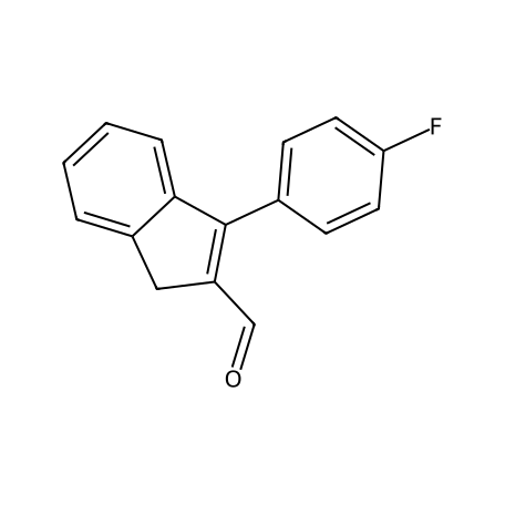 O=CC1=C(c2ccc(F)cc2)c2ccccc2C1